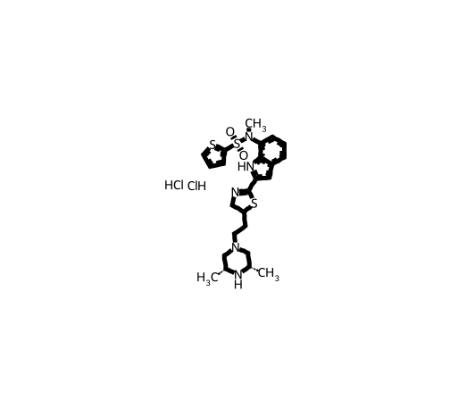 C[C@@H]1CN(CCC2CN=C(c3cc4cccc(N(C)S(=O)(=O)c5cccs5)c4[nH]3)S2)C[C@H](C)N1.Cl.Cl